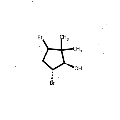 CCC1C[C@@H](Br)[C@H](O)C1(C)C